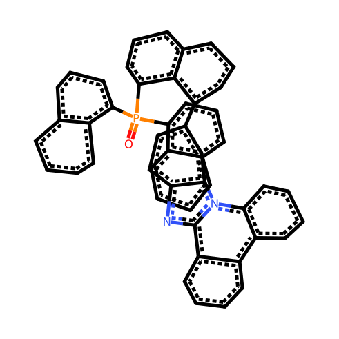 O=P(c1cccc2ccccc12)(c1cccc2ccccc12)c1cccc2cccc(-c3ccc4nc5c6ccccc6c6ccccc6n5c4c3)c12